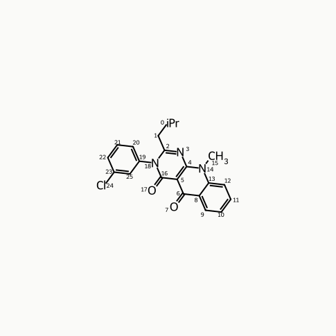 CC(C)Cc1nc2c(c(=O)c3ccccc3n2C)c(=O)n1-c1cccc(Cl)c1